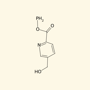 O=C(OP)c1ccc(CO)cn1